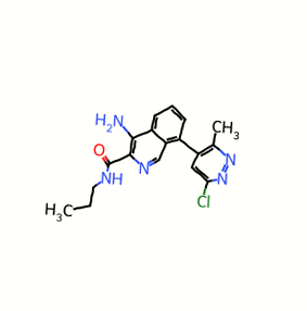 CCCNC(=O)c1ncc2c(-c3cc(Cl)nnc3C)cccc2c1N